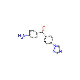 Nc1ccc(C(=O)c2ccc(-n3cncn3)cc2)cc1